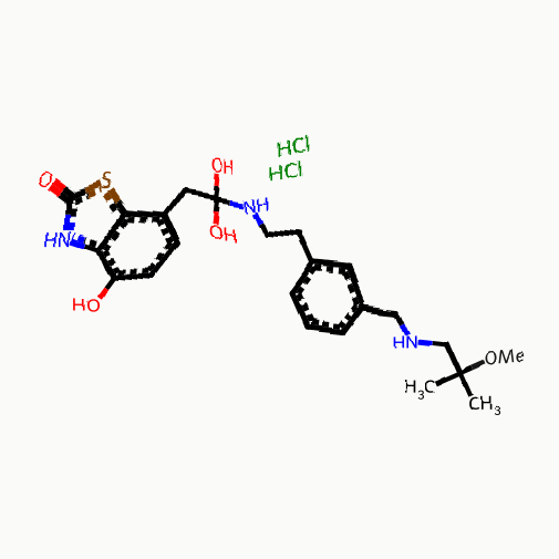 COC(C)(C)CNCc1cccc(CCNC(O)(O)Cc2ccc(O)c3[nH]c(=O)sc23)c1.Cl.Cl